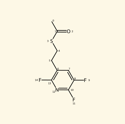 CC(=O)SCCc1cc(F)c(F)nc1F